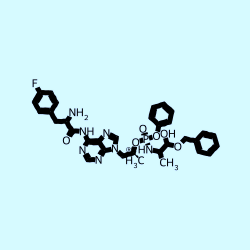 CC(NP(=O)(Oc1ccccc1)O[C@H](C)Cn1cnc2c(NC(=O)C(N)Cc3ccc(F)cc3)ncnc21)C(O)OCc1ccccc1